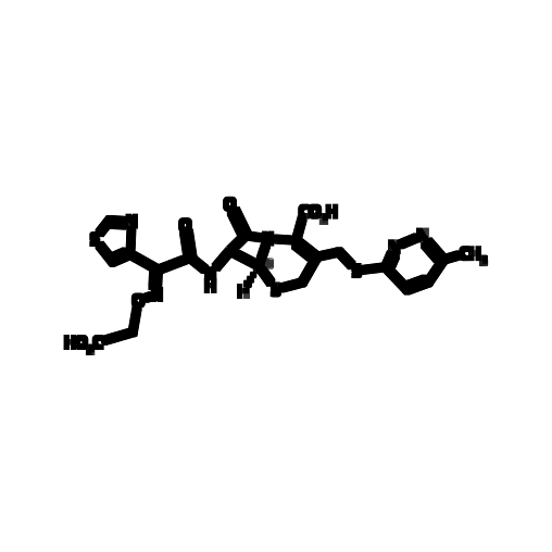 Cc1ccc(SCC2=C(C(=O)O)N3C(=O)C(NC(=O)C(=NOCC(=O)O)c4cscn4)[C@@H]3SC2)nn1